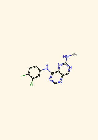 CC(C)Nc1ncc2ncnc(Nc3ccc(F)c(Cl)c3)c2n1